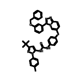 Cc1ccc(-n2nc(C(C)(C)C)cc2NC(=O)Nc2ccc(Sc3ccc4nnc(-c5cccc(OCc6ccccc6)c5)n4c3)cc2)cc1